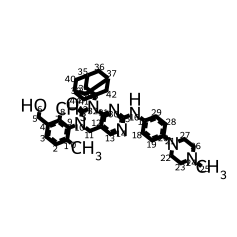 Cc1ccc(CO)c(C)c1N1Cc2cnc(Nc3ccc(N4CCN(C)CC4)cc3)nc2N(C23CC4CC(CC(C4)C2)C3)C1=O